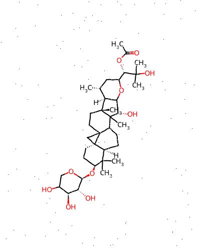 CC(=O)O[C@@H](C1C[C@@H](C)[C@H]2C(O1)[C@H](O)C1(C)C3CC[C@H]4C(C)(C)[C@@H](O[C@@H]5OCC(O)[C@H](O)[C@H]5O)CC[C@@]45CC35CC[C@]21C)C(C)(C)O